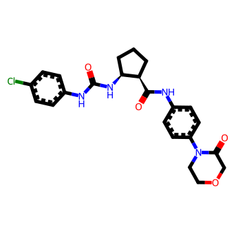 O=C(Nc1ccc(Cl)cc1)N[C@H]1CCC[C@H]1C(=O)Nc1ccc(N2CCOCC2=O)cc1